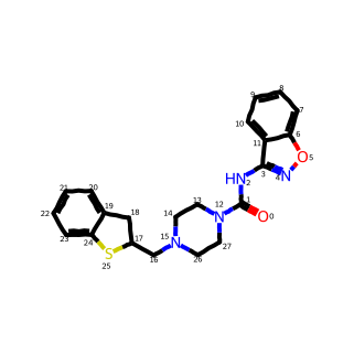 O=C(Nc1noc2ccccc12)N1CCN(CC2Cc3ccccc3S2)CC1